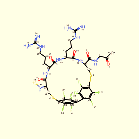 CC(C)C(=O)CNC(=O)C1CSc2c(F)c(F)c(c(F)c2F)-c2c(F)c(F)c(c(F)c2F)SCC(NS)C(=O)NC(CCCNC(=N)N)C(=O)NC(CCCNC(=N)N)C(=O)N1